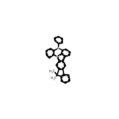 CC1(C)c2ccccc2-c2cc3c4cccc5c4n(c3cc21)-c1ccccc1N5c1ccccc1